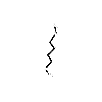 FC(F)(F)OCCCCOC(F)(F)F